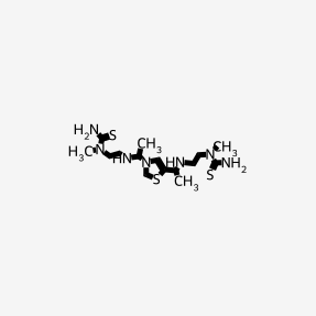 CC(NCCN(C)C(N)=S)C1=CN(C(C)NCCN(C)C(N)=S)CS1